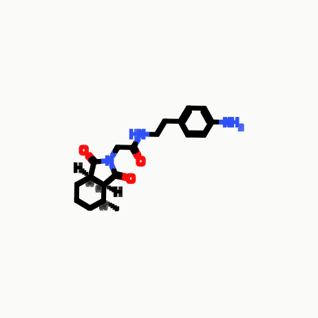 C[C@@H]1CCC[C@H]2C(=O)N(CC(=O)NCCc3ccc(N)cc3)C(=O)[C@@H]12